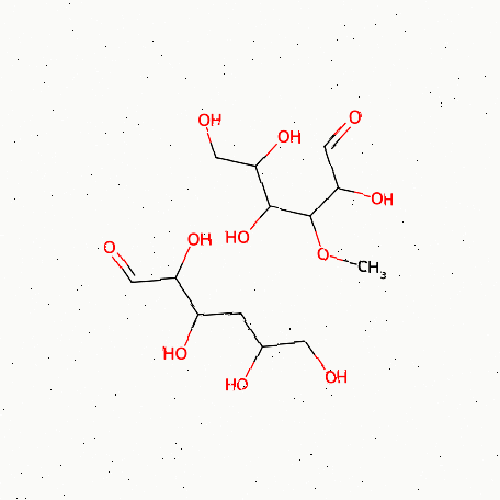 COC(C(O)C=O)C(O)C(O)CO.O=CC(O)C(O)CC(O)CO